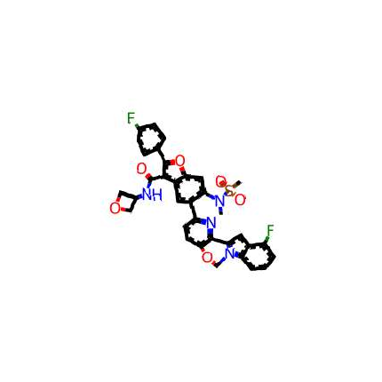 CN(c1cc2oc(-c3ccc(F)cc3)c(C(=O)NC3COC3)c2cc1-c1ccc2c(n1)-c1cc3c(F)cccc3n1CO2)S(C)(=O)=O